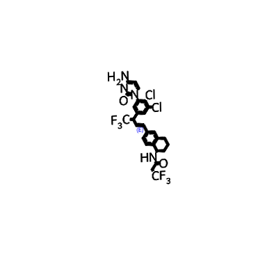 Nc1ccn(-c2cc(C(/C=C/c3ccc4c(c3)CCCC4NC(=O)CC(F)(F)F)C(F)(F)F)cc(Cl)c2Cl)c(=O)n1